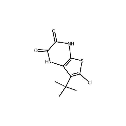 CC(C)(C)c1c(Cl)sc2[nH]c(=O)c(=O)[nH]c12